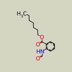 CCCCCCCOC(=O)c1ccccc1NC=O